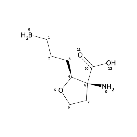 BCCC[C@@H]1OCC[C@@]1(N)C(=O)O